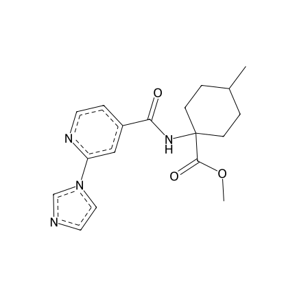 COC(=O)C1(NC(=O)c2ccnc(-n3ccnc3)c2)CCC(C)CC1